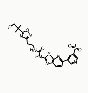 CC(C)(CF)c1nc(CCNC(=O)Nc2nc3ccc(-c4cncc(S(C)(=O)=O)c4)nc3s2)no1